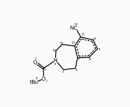 CC(C)(C)OC(=O)N1CCc2cccc(C#N)c2CC1